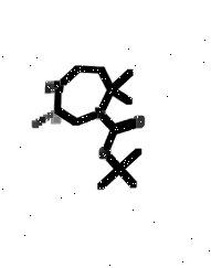 C[C@H]1CN(C(=O)OC(C)(C)C)C(C)(C)CCN1